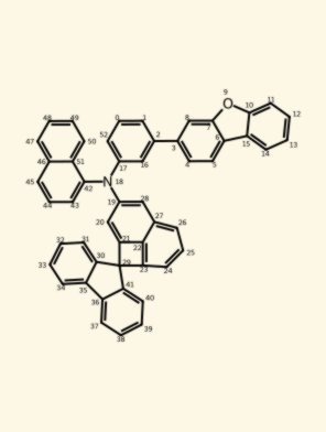 c1cc(-c2ccc3c(c2)oc2ccccc23)cc(N(c2cc3c4c(cccc4c2)C32c3ccccc3-c3ccccc32)c2cccc3ccccc23)c1